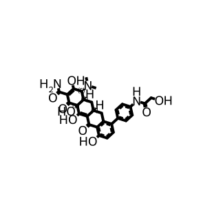 CN(C)[C@@H]1C(O)=C(C(N)=O)C(=O)[C@@]2(O)C(O)=C3C(=O)c4c(O)ccc(-c5ccc(NC(=O)CO)cc5)c4C[C@H]3C[C@H]12